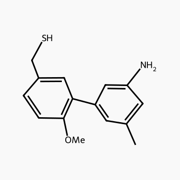 COc1ccc(CS)cc1-c1cc(C)cc(N)c1